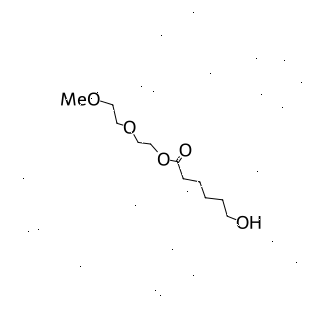 COCCOCCOC(=O)CCCCCO